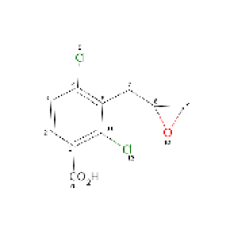 O=C(O)c1ccc(Cl)c(CC2CO2)c1Cl